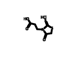 Cl.O=C(O)CCN1C(=O)CSC1=S